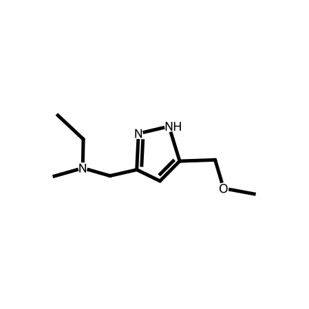 CCN(C)Cc1cc(COC)[nH]n1